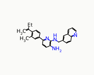 C=C(CC)c1ccc(-c2ccc(N)c(NCc3ccc4ncccc4c3)n2)cc1C